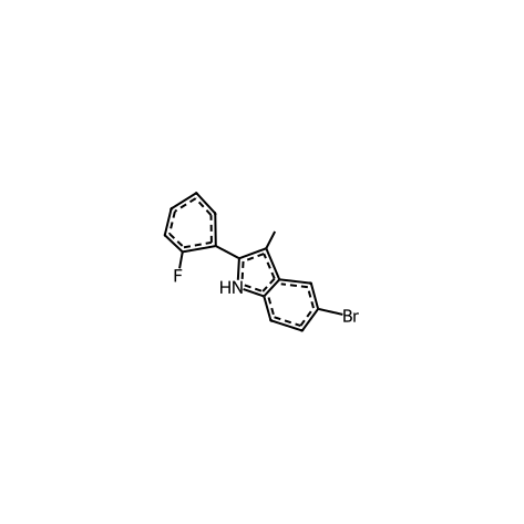 Cc1c(-c2ccccc2F)[nH]c2ccc(Br)cc12